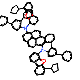 c1ccc(-c2ccc(N(c3ccc4ccc5c(N(c6ccc(-c7ccccc7)cc6-c6ccccc6)c6cccc7c6oc6c(C8CCCC8)cccc67)ccc6ccc3c4c65)c3cccc4c3oc3c(C5CCCC5)cccc34)c(-c3ccccc3)c2)cc1